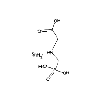 O=C(O)CNCP(=O)(O)O.[SnH2]